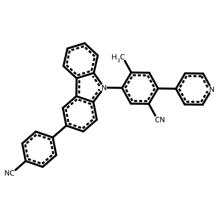 Cc1cc(-c2ccncc2)c(C#N)cc1-n1c2ccccc2c2cc(-c3ccc(C#N)cc3)ccc21